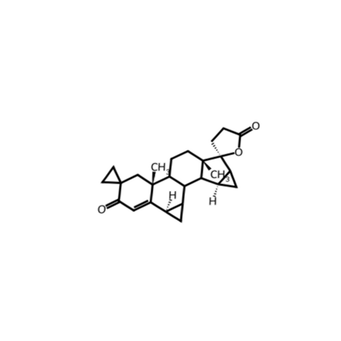 C[C@]12CC3(CC3)C(=O)C=C1[C@@H]1CC1C1C2CC[C@@]2(C)C1[C@@H]1CC1[C@@]21CCC(=O)O1